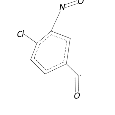 O=[C]c1ccc(Cl)c(N=O)c1